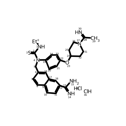 CCNC(=S)N(Cc1ccc2ccc(C(=N)N)cc2c1)c1ccc(OC2CCN(C(C)=N)CC2)cc1.Cl.Cl